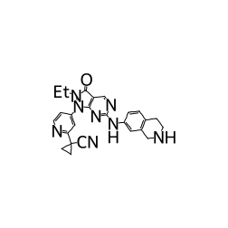 CCn1c(=O)c2cnc(Nc3ccc4c(c3)CNCC4)nc2n1-c1ccnc(C2(C#N)CC2)c1